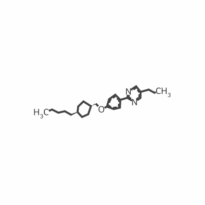 CCCCC[C@H]1CC[C@H](COc2ccc(-c3ncc(CCC)cn3)cc2)CC1